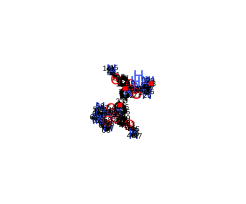 C[C@H]1CC[C@H](c2cccc(OCCN(C)C)c2)N(C(=O)C(=O)Nc2cncc3cn[nH]c23)C1.C[C@H]1CC[C@H](c2cccc(OCCN(C)C)c2)N(C(=O)C(=O)Nc2cncc3cnn(C4CCCCO4)c23)C1